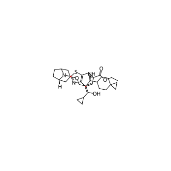 CCOC(=O)c1ccc2nc(N3C4CC[C@H]3CC(OC/C(C(=N)C3CCC5(CC3)CC5)=C(/O)C3CC3)C4)sc2c1